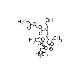 CCOP(=O)(OCC)C(CCCN(CCO)C(=O)OCOC(=O)CC)P(=O)(OCC)OCC